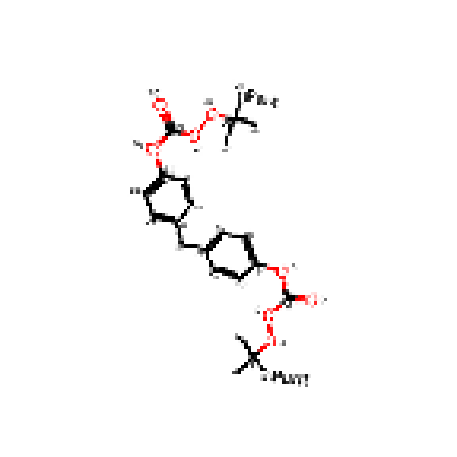 CCCCCC(C)(C)OOC(=O)Oc1ccc(Cc2ccc(OC(=O)OOC(C)(C)CCCCC)cc2)cc1